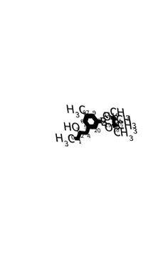 CCC(O)Cc1cc(C)cc(B2OC(C)(C)C(C)(C)O2)c1